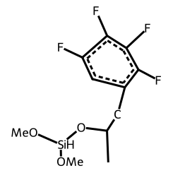 CO[SiH](OC)OC(C)Cc1cc(F)c(F)c(F)c1F